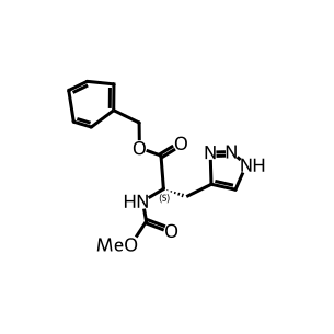 COC(=O)N[C@@H](Cc1c[nH]nn1)C(=O)OCc1ccccc1